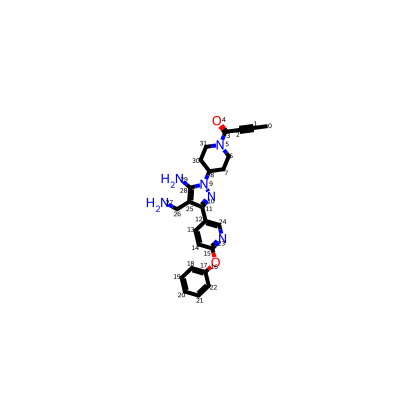 CC#CC(=O)N1CCC(n2nc(-c3ccc(Oc4ccccc4)nc3)c(CN)c2N)CC1